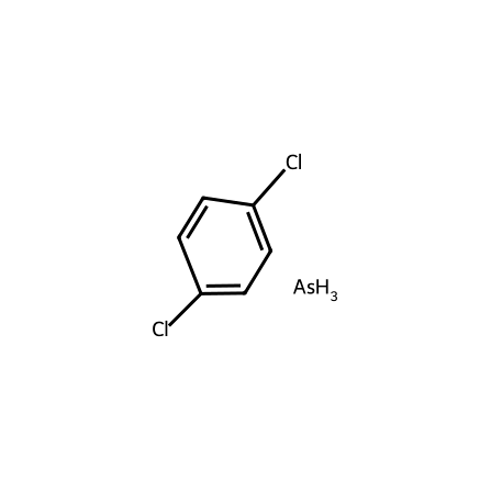 Clc1ccc(Cl)cc1.[AsH3]